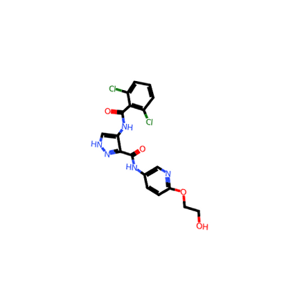 O=C(Nc1ccc(OCCO)nc1)c1n[nH]cc1NC(=O)c1c(Cl)cccc1Cl